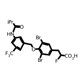 CC(C)C(=O)Nc1cc(COc2c(Br)cc(CC(F)C(=O)O)cc2Br)cc(C(F)(F)F)c1